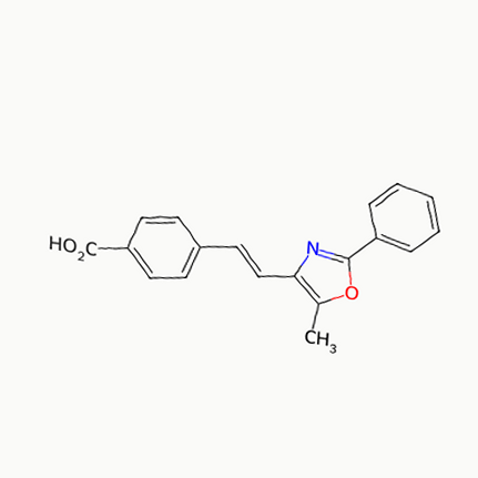 Cc1oc(-c2ccccc2)nc1C=Cc1ccc(C(=O)O)cc1